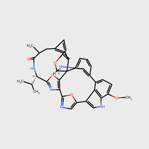 COc1ccc2c3c(c[nH]c13)-c1cnc(o1)-c1nc3oc1C14c5cc(ccc5O[C@@H]1Nc1c-2cccc14)CC(C)C(=O)N[C@H]3C(C)C